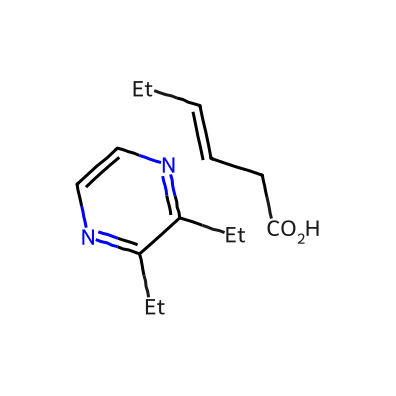 CC/C=C/CC(=O)O.CCc1nccnc1CC